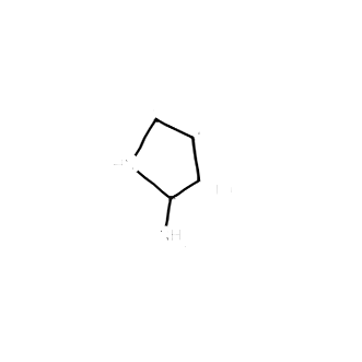 Cl.NC1CCCN1